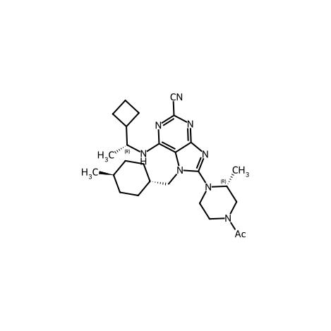 CC(=O)N1CCN(c2nc3nc(C#N)nc(N[C@H](C)C4CCC4)c3n2C[C@H]2CC[C@H](C)CC2)[C@H](C)C1